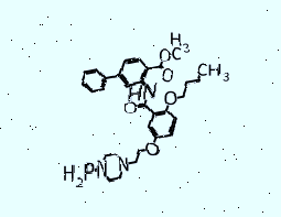 CCCCOc1ccc(OCCN2CCN(P)CC2)cc1C(=O)Nc1cc(-c2ccccc2)ccc1C(=O)OC